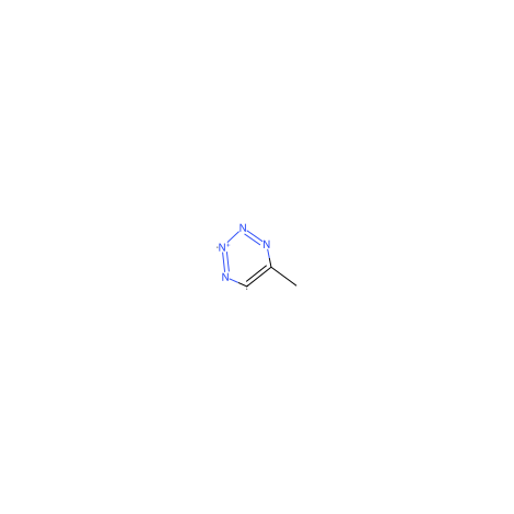 CC1=[C]N=[N+]N=N1